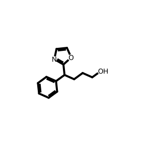 OCCCC(c1ccccc1)c1ncco1